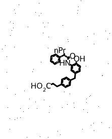 CCCC(C(=O)Nc1cc(Cc2ccc(CCC(=O)O)cc2)ccc1O)c1ccccc1